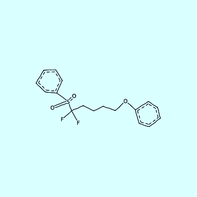 O=S(=O)(c1ccccc1)C(F)(F)CCCCOc1ccccc1